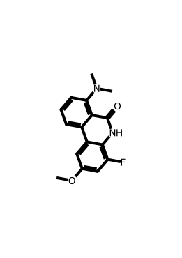 COc1cc(F)c2[nH]c(=O)c3c(N(C)C)cccc3c2c1